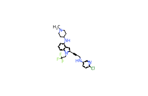 CN1CCC(Nc2cccc3c2cc(C#CCNc2ccc(Cl)nc2)n3CC(F)(F)F)CC1